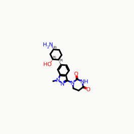 Cn1nc(N2CCC(=O)NC2=O)c2ccc([C@H]3CC[C@@H](N)C[C@H]3O)cc21